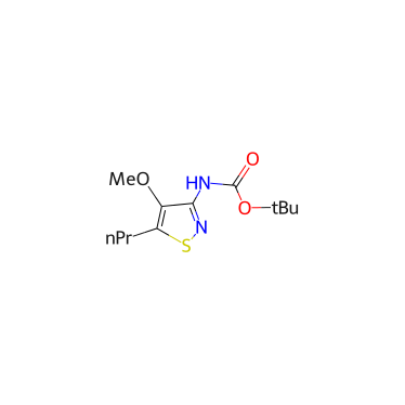 CCCc1snc(NC(=O)OC(C)(C)C)c1OC